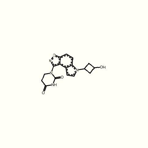 O=C1CCN(c2noc3ccc4c(ccn4C4CC(O)C4)c23)C(=O)N1